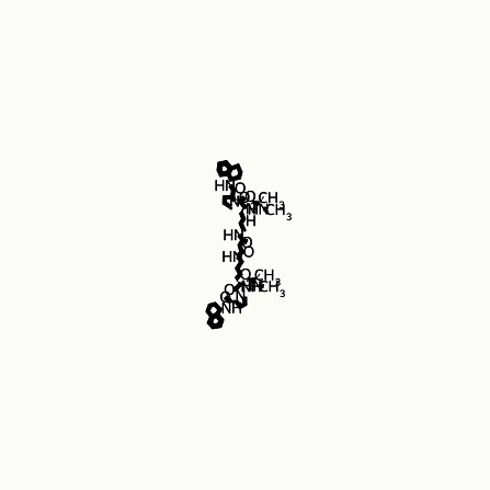 CN[C@@H](C)C(=O)N[C@@H](CCCCNC(=O)CC(=O)NCCCC[C@H](NC(=O)[C@H](C)NC)C(=O)N1CCC[C@H]1C(=O)N[C@@H]1CCCc2ccccc21)C(=O)N1CCCC1C(=O)N[C@@H]1CCCc2ccccc21